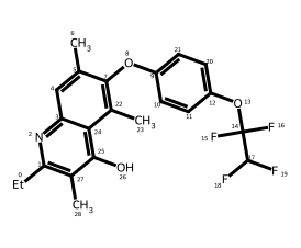 CCc1nc2cc(C)c(Oc3ccc(OC(F)(F)C(F)F)cc3)c(C)c2c(O)c1C